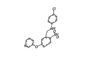 O=[SH](=O)c1ccc(Oc2cccnc2)cc1CNc1ccc(Cl)cc1